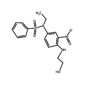 CCN(c1ccc(NCCO)c([N+](=O)[O-])c1)S(=O)(=O)c1ccccc1